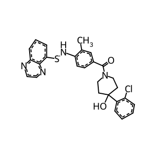 Cc1cc(C(=O)N2CCC(O)(c3ccccc3Cl)CC2)ccc1NSc1cccc2nccnc12